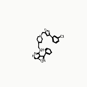 Clc1cccc(-c2cc(CN3CCC(CNc4nncc5onc(-c6ccccc6)c45)CC3)on2)c1